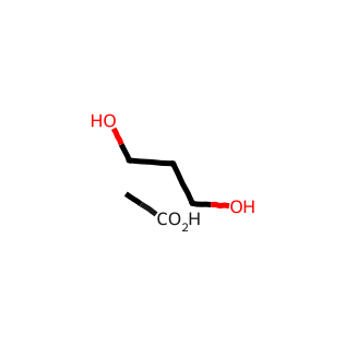 CC(=O)O.OCCCO